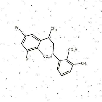 Cc1cccc(CCC(C)c2cc(C(C)C)cc(C(C)C)c2C(=O)O)c1C(=O)O